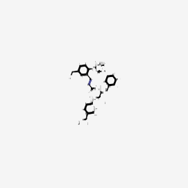 COC(=O)c1ccc(NC(=O)[C@H](Cc2ccccc2)NC(=O)/C=C/c2cc(CI)ccc2-n2cnnn2)nc1